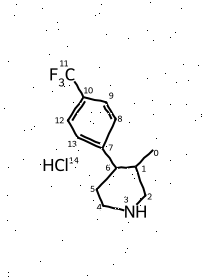 CC1CNCCC1c1ccc(C(F)(F)F)cc1.Cl